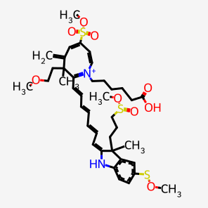 C=C1\C=C(S(=O)(=O)OC)/C=C\[N+](CCCCCC(=O)O)=C(\C=C\C=C\C=C\C=C2\Nc3ccc(SOC)cc3C2(C)CCCS(=O)OC)C1(C)CCOC